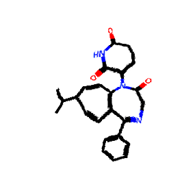 CC(C)C1C=CC2=C(C=C1)N(C1CCC(=O)NC1=O)C(=O)CN=C2c1ccccc1